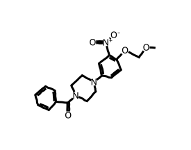 COCOc1ccc(N2CCN(C(=O)c3ccccc3)CC2)cc1[N+](=O)[O-]